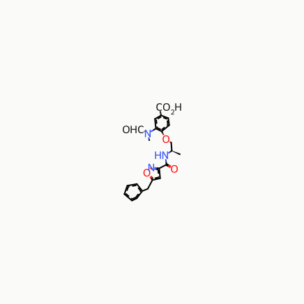 C[C@H](COc1ccc(C(=O)O)cc1N(C)C=O)NC(=O)c1cc(Cc2ccccc2)on1